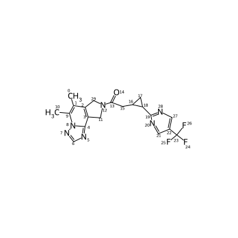 Cc1c2c(c3ncnn3c1C)CN(C(=O)CC1CC1c1ncc(C(F)(F)F)cn1)C2